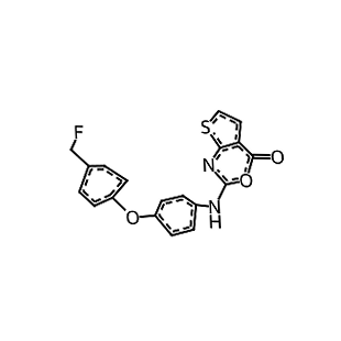 O=c1oc(Nc2ccc(Oc3ccc(CF)cc3)cc2)nc2sccc12